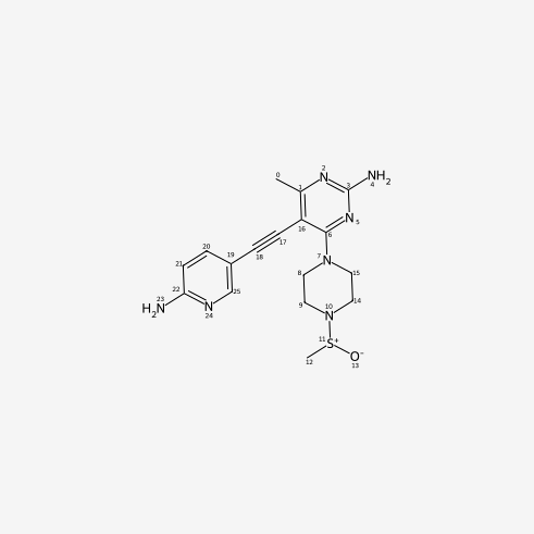 Cc1nc(N)nc(N2CCN([S+](C)[O-])CC2)c1C#Cc1ccc(N)nc1